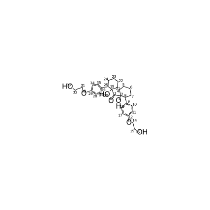 O=C(C1(O)CCCCC1c1ccc(OCCO)cc1)C1(O)CCCCC1c1ccc(OCCO)cc1